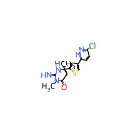 CN1C(=N)N[C@](C)(c2cc(-c3ccc(Cl)nn3)cs2)CC1=O